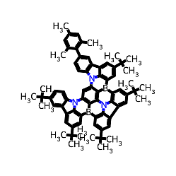 Cc1cc(C)c(-c2ccc3c(c2)c2cc(C(C)(C)C)cc4c2n3-c2cc3c5c6c2B4c2cc(C(C)(C)C)cc4c7cc(C(C)(C)C)cc(c7n-6c24)B5c2cc(C(C)(C)C)cc4c5cc(C(C)(C)C)ccc5n-3c24)c(C)c1